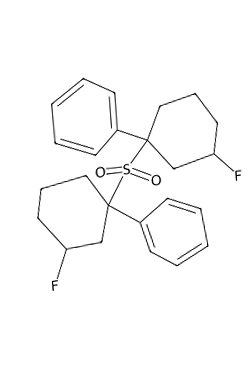 O=S(=O)(C1(c2ccccc2)CCCC(F)C1)C1(c2ccccc2)CCCC(F)C1